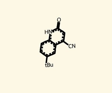 CC(C)(C)c1ccc2[nH]c(=O)cc(C#N)c2c1